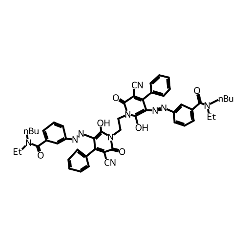 CCCCN(CC)C(=O)c1cccc(/N=N/c2c(-c3ccccc3)c(C#N)c(=O)n(CCn3c(O)c(/N=N/c4cccc(C(=O)N(CC)CCCC)c4)c(-c4ccccc4)c(C#N)c3=O)c2O)c1